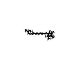 COC1=C(OC)C(=O)C(CCCCCCCCCCN2CCC(F)CC2)=C(C)C1=O